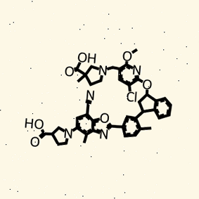 COc1nc(OC2CC(c3cc(-c4nc5c(C)c(N6CCC(C(=O)O)C6)cc(C#N)c5o4)ccc3C)c3ccccc32)c(Cl)cc1CN1CCC(C)(C(=O)O)C1